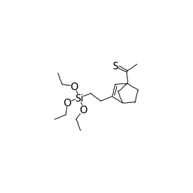 CCO[Si](CCC1=CC2(C(C)=S)CCC1C2)(OCC)OCC